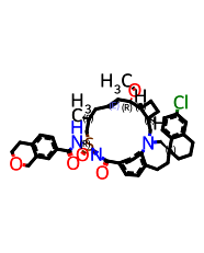 CO[C@H]1/C=C/C[C@H](C)C[S@@](=O)(NC(=O)c2ccc3c(c2)COCC3)=NC(=O)c2ccc3c(c2)N(C[C@@H]2CC[C@H]21)C[C@@]1(CCCc2cc(Cl)ccc21)CC3